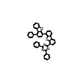 c1ccc(-c2nc(-c3ccccc3)nc(-c3cccc4c3sc3c(-c5ccc(-c6ccccc6)c6c5oc5ccccc56)cccc34)n2)cc1